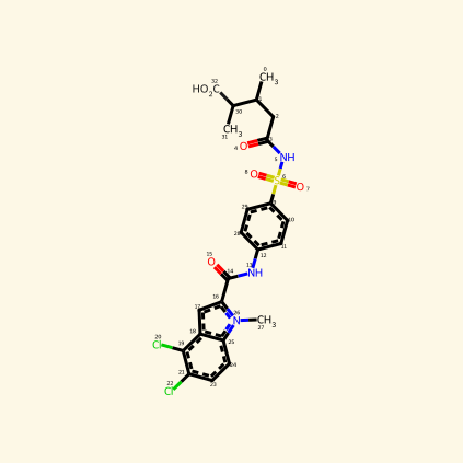 CC(CC(=O)NS(=O)(=O)c1ccc(NC(=O)c2cc3c(Cl)c(Cl)ccc3n2C)cc1)C(C)C(=O)O